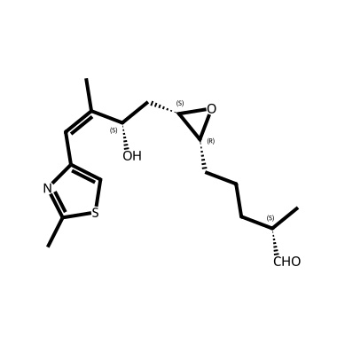 CC(=Cc1csc(C)n1)[C@@H](O)C[C@@H]1O[C@@H]1CCC[C@H](C)C=O